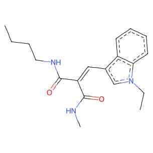 CCCCNC(=O)/C(=C/c1cn(CC)c2ccccc12)C(=O)NC